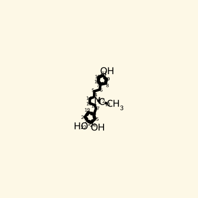 CCCN1C(CCc2ccc(O)cc2)CCC1Cc1ccc(O)c(O)c1